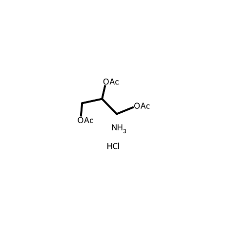 CC(=O)OCC(COC(C)=O)OC(C)=O.Cl.N